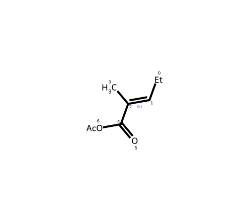 CC/C=C(\C)C(=O)OC(C)=O